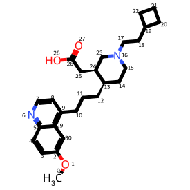 COc1ccc2nccc(CCC[C@@H]3CCN(CCC4CCC4)C[C@@H]3CC(=O)O)c2c1